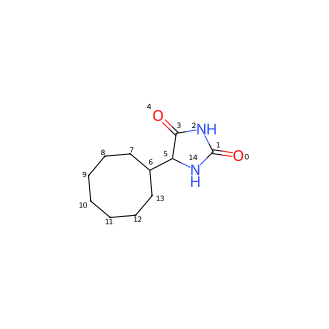 O=C1NC(=O)C(C2CCCCCCC2)N1